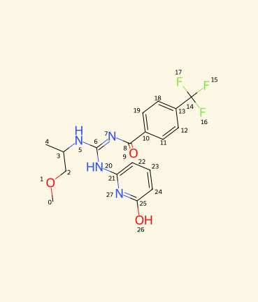 COCC(C)N/C(=N/C(=O)c1ccc(C(F)(F)F)cc1)Nc1cccc(O)n1